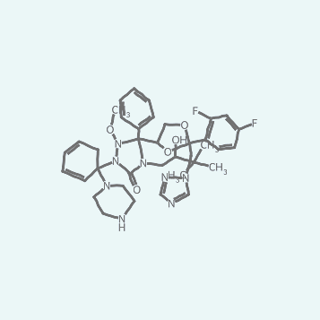 CON1N(C2(N3CCNCC3)C=CC=CC2)C(=O)N(CC(O)C(C)(C)C)C1(c1ccccc1)C1COC(Cn2cncn2)(c2ccc(F)cc2F)O1